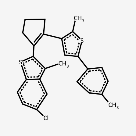 Cc1ccc(-c2cc(C3=C(c4sc5ccc(Cl)cc5c4C)CCC3)c(C)s2)cc1